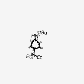 CCN(CC)c1ccc(NC(C)(C)C)cc1